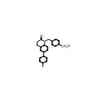 Cc1ccc(-c2ccc3c(c2)CCC(=O)N3Cc2ccc(C(=O)O)cc2)cc1